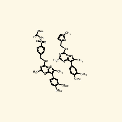 COC(=O)NS(=O)(=O)c1ccc(CNc2nc(C)nc3c(-c4ccc(OC)c(OC)c4)c(C)nn23)cc1.COc1ccc(-c2c(C)nn3c(NCc4ccc(C)o4)nc(C)nc23)cc1OC